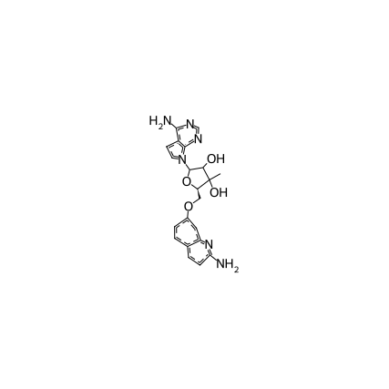 CC1(O)C(O)C(n2ccc3c(N)ncnc32)O[C@@H]1COc1ccc2ccc(N)nc2c1